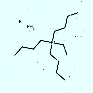 CCCC[P+](CC)(CCCC)CCCC.P.[Br-]